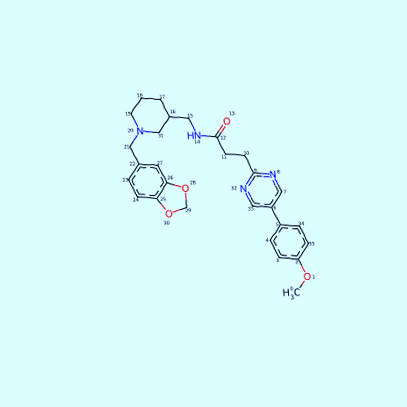 COc1ccc(-c2cnc(CCC(=O)NCC3CCCN(Cc4ccc5c(c4)OCO5)C3)nc2)cc1